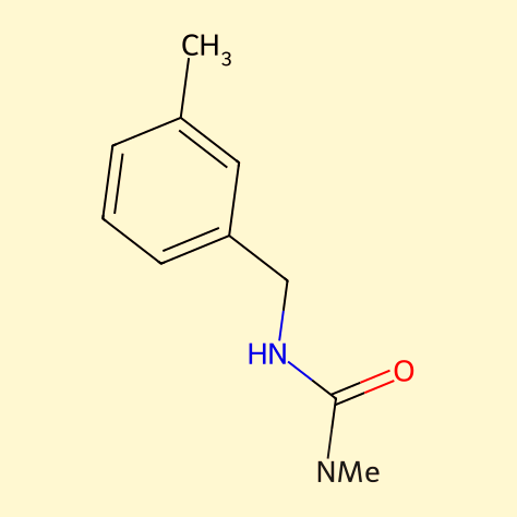 CNC(=O)NCc1cccc(C)c1